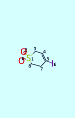 O=S1(=O)CC=C(I)CC1